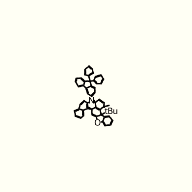 CC12C=C3Oc4ccccc4C3(C)C3=C1C(C)(C=CC3(C)C(C)(C)C)N(c1ccc3c(c1)-c1ccccc1C3(c1ccccc1)c1ccccc1)c1ccc3ccccc3c12